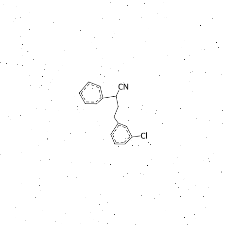 N#CC(CCc1cccc(Cl)c1)c1ccccc1